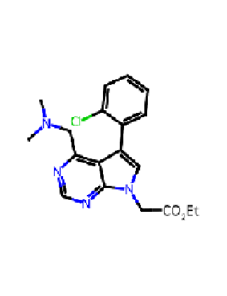 CCOC(=O)Cn1cc(-c2ccccc2Cl)c2c(CN(C)C)ncnc21